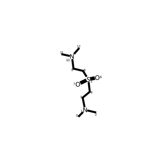 CN(C)CCS(=O)(=O)CCN(C)C